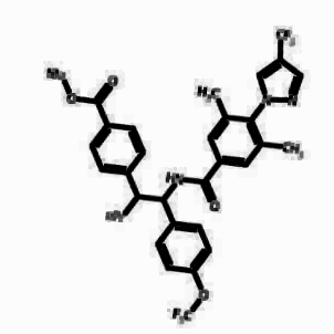 CCCC(c1ccc(C(=O)OC(C)(C)C)cc1)C(NC(=O)c1cc(C)c(-n2cc(C(F)(F)F)cn2)c(C)c1)c1ccc(OC(F)(F)F)cc1